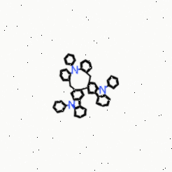 c1ccc(N2c3ccccc3Cc3cc4c(cc3-c3cc5c6ccccc6n(-c6ccccc6)c5cc3Cc3ccccc32)c2ccccc2n4-c2ccccc2)cc1